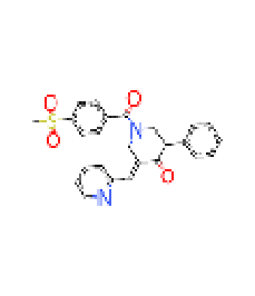 CS(=O)(=O)c1ccc(C(=O)N2CC(=Cc3ccccn3)C(=O)C(c3ccccc3)C2)cc1